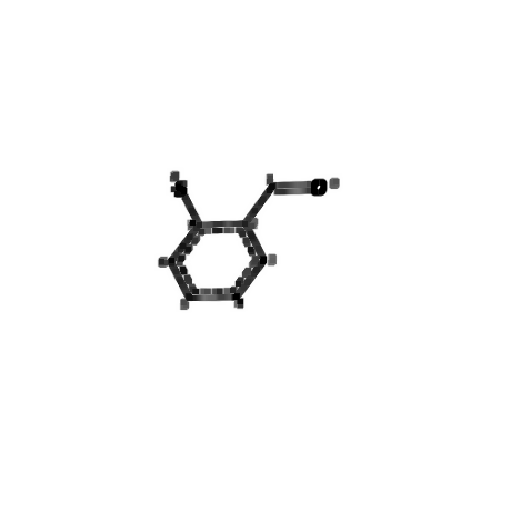 O=Cc1ccccc1[S]